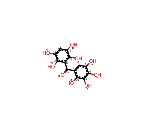 O=C(c1cc(O)c(O)c(O)c1O)c1c(O)c(O)cc(O)c1O